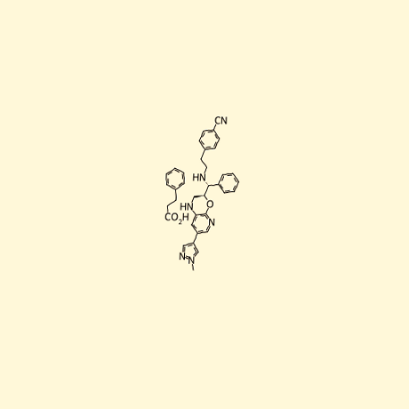 Cn1cc(-c2cnc3c(c2)NC[C@@H]([C@H](NCCc2ccc(C#N)cc2)c2ccccc2)O3)cn1.O=C(O)CCc1ccccc1